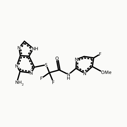 COc1nc(NC(=O)C(F)(F)Sc2nc(N)nc3nc[nH]c23)ncc1F